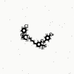 COc1ccc(COc2cc(CCCCN3CCC(C)(Oc4ccc(Cl)cc4)CC3)ccc2C(F)(F)F)cc1